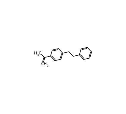 C=C(C)c1ccc(CCc2ccccc2)cc1